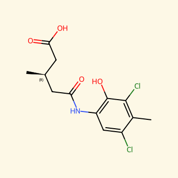 Cc1c(Cl)cc(NC(=O)C[C@@H](C)CC(=O)O)c(O)c1Cl